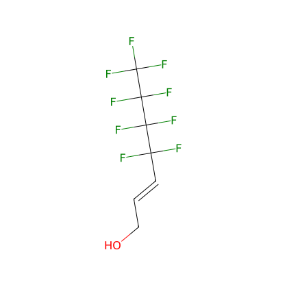 OCC=CC(F)(F)C(F)(F)C(F)(F)C(F)(F)F